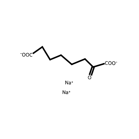 O=C([O-])CCCCCC(=O)C(=O)[O-].[Na+].[Na+]